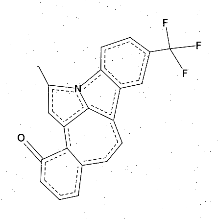 Cc1cc2c3c(=O)cccc-3ccc3c4cc(C(F)(F)F)ccc4n1c23